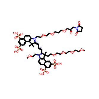 COCCOCCOCCOCCC1(C)C(/C=C/C=C2/N(CCOCCOCCCOCC(=O)CN3C(=O)CCC3=O)c3ccc4c(S(=O)(=O)O)cc(S(=O)(=O)O)cc4c3C2(C)C)=[N+](CCOC)c2ccc3c(S(=O)(=O)O)cc(S(=O)(=O)O)cc3c21